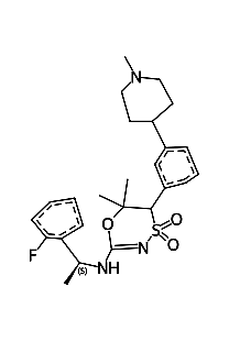 C[C@H](NC1=NS(=O)(=O)C(c2cccc(C3CCN(C)CC3)c2)C(C)(C)O1)c1ccccc1F